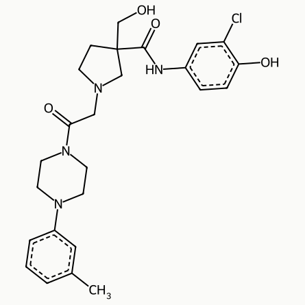 Cc1cccc(N2CCN(C(=O)CN3CCC(CO)(C(=O)Nc4ccc(O)c(Cl)c4)C3)CC2)c1